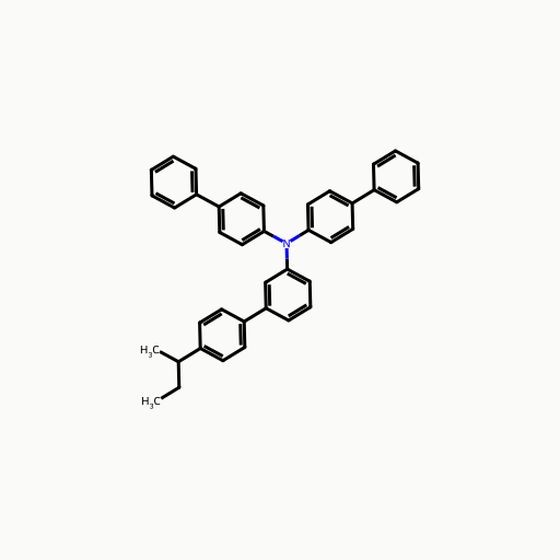 CCC(C)c1ccc(-c2cccc(N(c3ccc(-c4ccccc4)cc3)c3ccc(-c4ccccc4)cc3)c2)cc1